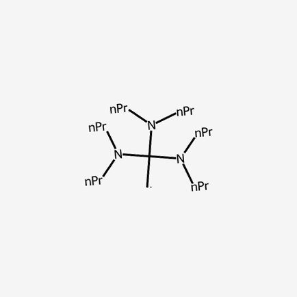 [CH2]C(N(CCC)CCC)(N(CCC)CCC)N(CCC)CCC